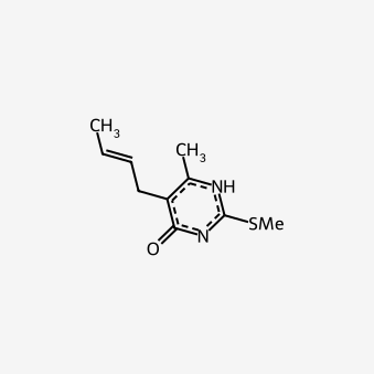 C/C=C/Cc1c(C)[nH]c(SC)nc1=O